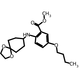 CCCCOc1ccc(NC2CCC3(CC2)OCCO3)c(C(=O)OC)c1